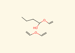 C=COC(O)CCC.C=COC=C